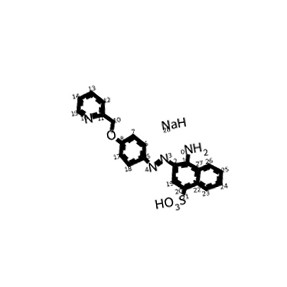 Nc1c(N=Nc2ccc(OCc3ccccn3)cc2)cc(S(=O)(=O)O)c2ccccc12.[NaH]